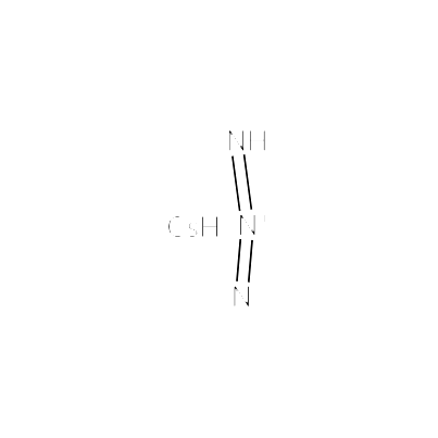 [CsH].[N-]=[N+]=N